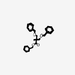 CC(COCc1ccccc1)(COCc1ccccc1)C(=O)OCc1ccccc1